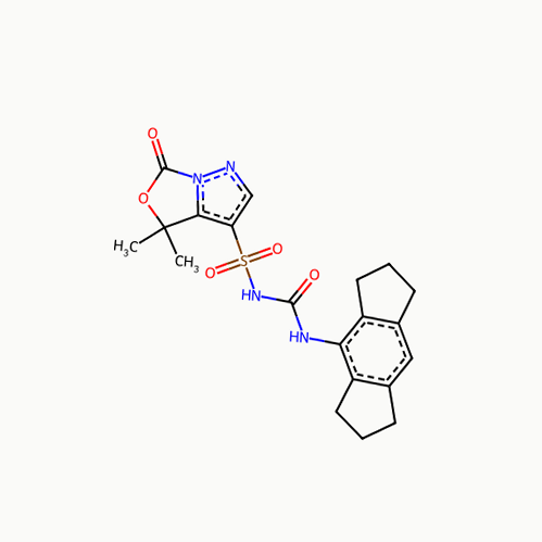 CC1(C)OC(=O)n2ncc(S(=O)(=O)NC(=O)Nc3c4c(cc5c3CCC5)CCC4)c21